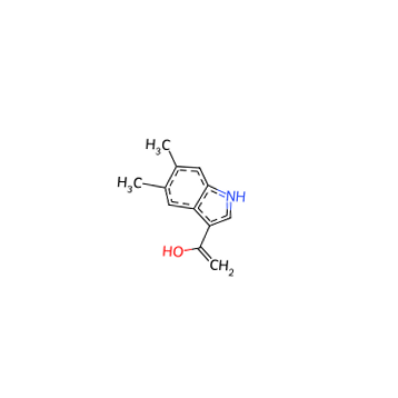 C=C(O)c1c[nH]c2cc(C)c(C)cc12